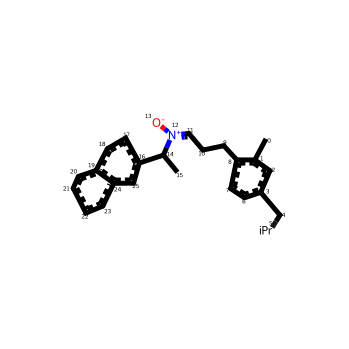 Cc1cc(CC(C)C)ccc1CC/C=[N+](/[O-])C(C)c1ccc2ccccc2c1